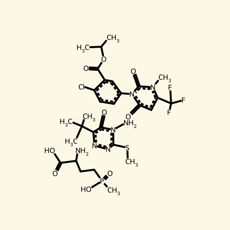 CC(C)OC(=O)c1cc(-n2c(=O)cc(C(F)(F)F)n(C)c2=O)ccc1Cl.CP(=O)(O)CCC(N)C(=O)O.CSc1nnc(C(C)(C)C)c(=O)n1N